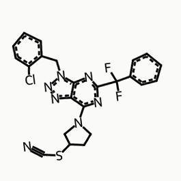 N#CSC1CCN(c2nc(C(F)(F)c3ccccc3)nc3c2nnn3Cc2ccccc2Cl)C1